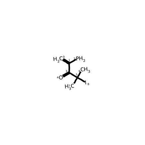 C=C(P)C(=O)C(C)(C)I